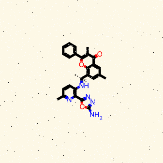 Cc1cc([C@@H](C)Nc2ccc(C)nc2-c2nnc(N)o2)c2oc(-c3ccccc3)c(C)c(=O)c2c1